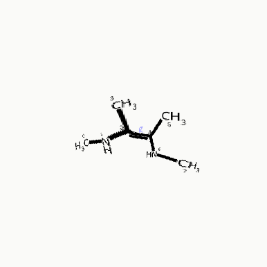 CN/C(C)=C(/C)NC